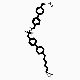 C=CC1CCC(c2ccc(COC(F)(F)Cc3ccc(C4CCC(CCCCCCC)CC4)cc3)cc2)CC1